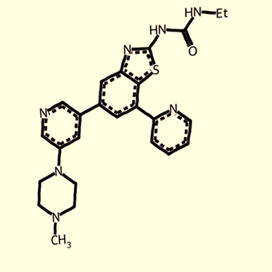 CCNC(=O)Nc1nc2cc(-c3cncc(N4CCN(C)CC4)c3)cc(-c3ccccn3)c2s1